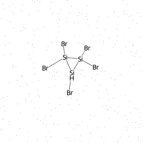 Br[SiH]1[Si](Br)(Br)[Si]1(Br)Br